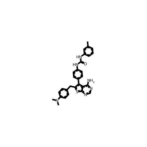 Cc1cccc(NC(=O)Nc2ccc(-c3c(Cc4ccc(N(C)C)cc4)sc4ncnc(N)c34)cc2)c1